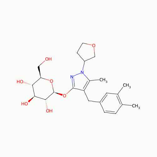 Cc1ccc(Cc2c(O[C@@H]3O[C@H](CO)[C@@H](O)[C@H](O)[C@H]3O)nn(C3CCOC3)c2C)cc1C